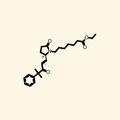 CCOC(=O)CCCCCCN1C(=O)CC[C@@H]1/C=C/C(=O)C(C)(C)c1ccccc1